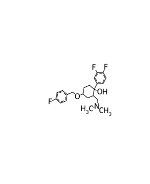 CN(C)CC1CC(OCc2ccc(F)cc2)CCC1(O)c1ccc(F)c(F)c1